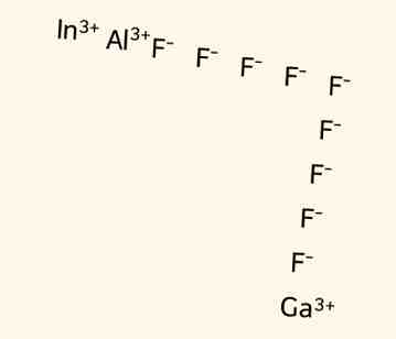 [Al+3].[F-].[F-].[F-].[F-].[F-].[F-].[F-].[F-].[F-].[Ga+3].[In+3]